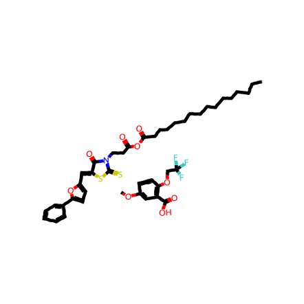 CCCCCCCCCCCCCCCC(=O)OC(=O)CCN1C(=O)C(=Cc2ccc(-c3ccccc3)o2)SC1=S.COc1ccc(OCC(F)(F)F)c(C(=O)O)c1